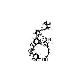 CC1(C)CC2CCCCNc3ccc(cn3)S(=O)(=O)NC(=O)c3ccc(-n4ccc(OCC5CCC56CC6)n4)nc3N1C2